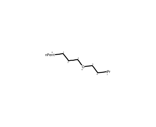 CCCCCCCCOCCC(C)C